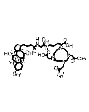 C[C@H](CCC(=O)NCC(=O)NCCCC(C(=O)O)N1CCN(CC(=O)O)CCN(CC(=O)O)CCN(CC(=O)O)CC1)[C@H]1CC[C@H]2[C@@H]3C(O)C[C@@H]4C[C@H](O)CC[C@]4(C)[C@H]3C[C@H](O)[C@]12C